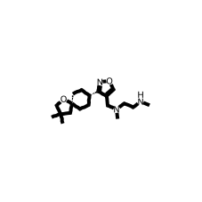 CNCCN(C)Cc1conc1[C@H]1CC[C@]2(CC1)CC(C)(C)CO2